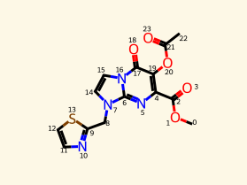 COC(=O)c1nc2n(Cc3nccs3)ccn2c(=O)c1OC(C)=O